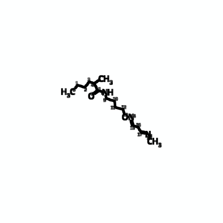 CCCCC(C)C(=O)NCCCCON=CCC=NC